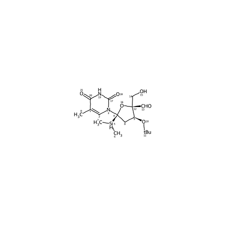 Cc1cn([C@@]2([SiH](C)C)C[C@H](OC(C)(C)C)[C@@](C=O)(CO)O2)c(=O)[nH]c1=O